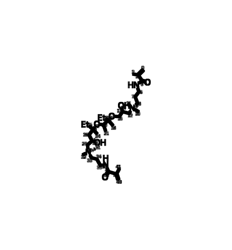 C=C(C)C(=O)NCCC[N+](C)(C)CC(O)COC(C)(CC)C(C)OC(C)(CC)CC(O)C[N+](C)(C)CCCNC(=O)C(=C)C